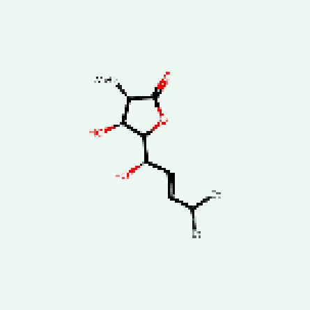 CCC(/C=C/[C@@H](O)C1OC(=O)[C@H](OC)[C@@H]1O)CC